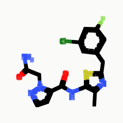 Cc1nc(Cc2cc(F)cc(Cl)c2)sc1NC(=O)c1ccnn1CC(N)=O